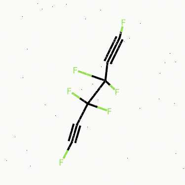 FC#CC(F)(F)C(F)(F)C#CF